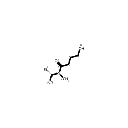 CC[C@@H](C#N)N(C)C(=O)CCCO